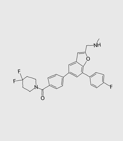 CNCc1cc2cc(-c3ccc(C(=O)N4CCC(F)(F)CC4)cc3)cc(-c3ccc(F)cc3)c2o1